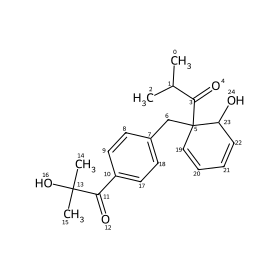 CC(C)C(=O)C1(Cc2ccc(C(=O)C(C)(C)O)cc2)C=CC=CC1O